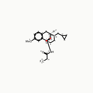 COc1ccc2c(c1)[C@]13CCN(CC4CC4)[C@H](C2)C1OCC(NC(=O)CC(F)(F)F)C3